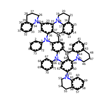 c1ccc(N2c3cc4c(cc3B3c5cccc6c5N(CCC6)c5cc(N6CCCc7ccccc76)cc2c53)B2c3cccc5c3N(CCC5)c3cc(N5CCCc6ccccc65)cc(c32)N4c2ccccc2)cc1